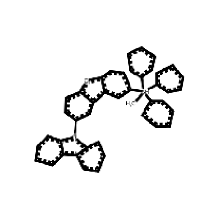 C[SH](c1ccccc1)(c1ccccc1)(c1ccccc1)c1ccc2oc3ccc(-n4c5ccccc5c5ccccc54)cc3c2c1